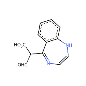 O=CC(C(=O)O)C1=NC=CNc2ccccc21